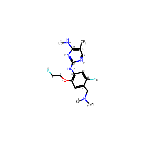 CCCN(CC)Cc1cc(OCCF)c(Nc2ncc(C(F)(F)F)c(NCC)n2)cc1F